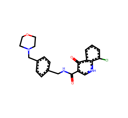 O=C(NCc1ccc(CN2CCOCC2)cc1)c1c[nH]c2c(Cl)cccc2c1=O